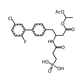 CC(=O)OC(C)OC(=O)CC(Cc1ccc(-c2cc(Cl)ccc2F)cc1)NC(=O)CCP(=O)(O)O